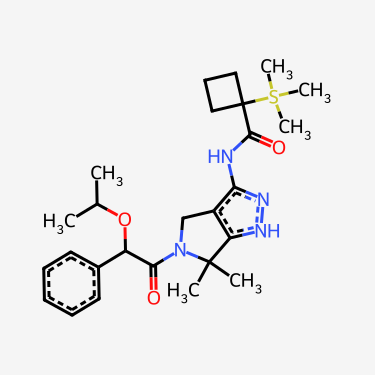 CC(C)OC(C(=O)N1Cc2c(NC(=O)C3(S(C)(C)C)CCC3)n[nH]c2C1(C)C)c1ccccc1